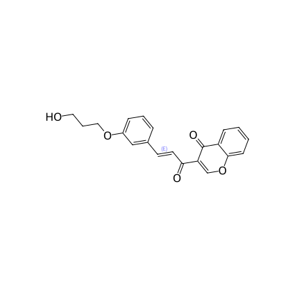 O=C(/C=C/c1cccc(OCCCO)c1)c1coc2ccccc2c1=O